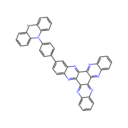 c1ccc2c(c1)[Se]c1ccccc1N2c1ccc(-c2ccc3nc4c5nc6ccccc6nc5c5nc6ccccc6nc5c4nc3c2)cc1